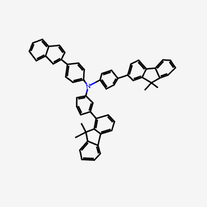 CC1(C)c2ccccc2-c2ccc(-c3ccc(N(c4ccc(-c5ccc6ccccc6c5)cc4)c4cccc(-c5cccc6c5C(C)(C)c5ccccc5-6)c4)cc3)cc21